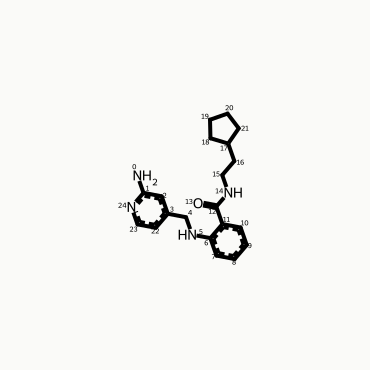 Nc1cc(CNc2ccccc2C(=O)NCCC2CCCC2)ccn1